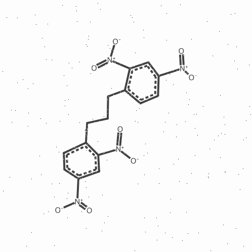 O=[N+]([O-])c1ccc(CCCc2ccc([N+](=O)[O-])cc2[N+](=O)[O-])c([N+](=O)[O-])c1